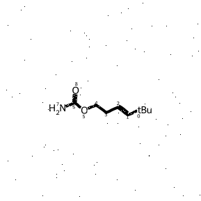 CC(C)(C)/C=C/CCOC(N)=O